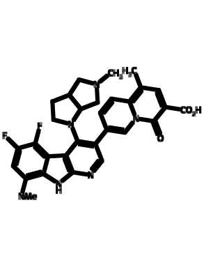 CNc1cc(F)c(F)c2c1[nH]c1ncc(-c3ccc4c(C)cc(C(=O)O)c(=O)n4c3)c(N3CCC4CN(C)CC43)c12